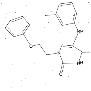 Cc1cccc(Nc2cn(CCOc3ccccc3)c(=O)[nH]c2=O)c1